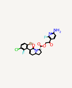 Nc1ccc(C(=O)COC(=O)[C@@H]2CCC3CC=C(c4c(Br)ccc(Cl)c4F)C(=O)N32)c(F)n1